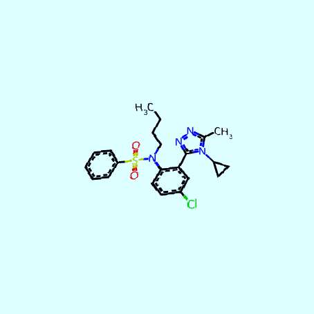 CCCCN(c1ccc(Cl)cc1-c1nnc(C)n1C1CC1)S(=O)(=O)c1ccccc1